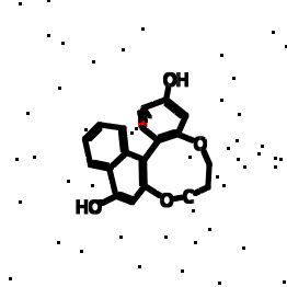 Oc1cc2c(c3ccccc13)-c1c(cc(O)c3ccccc13)OCCCO2